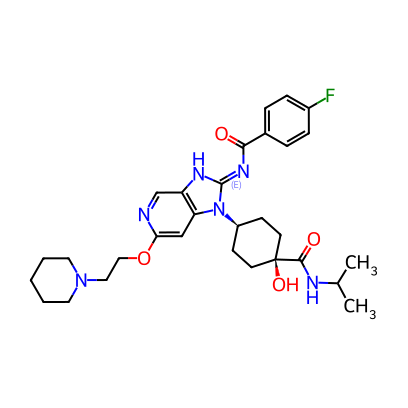 CC(C)NC(=O)[C@]1(O)CC[C@@H](n2/c(=N/C(=O)c3ccc(F)cc3)[nH]c3cnc(OCCN4CCCCC4)cc32)CC1